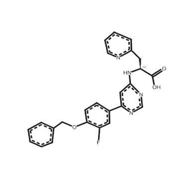 O=C(O)[C@H](Cc1ccccn1)Nc1cc(-c2ccc(OCc3ccccc3)c(F)c2)ncn1